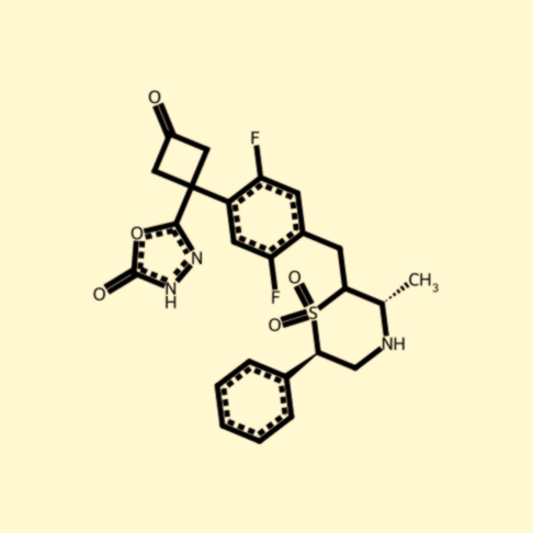 C[C@@H]1NC[C@@H](c2ccccc2)S(=O)(=O)C1Cc1cc(F)c(C2(c3n[nH]c(=O)o3)CC(=O)C2)cc1F